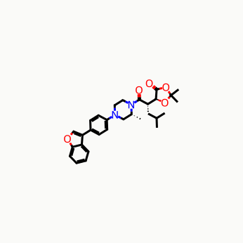 CC(C)C[C@H](C(=O)N1CCN(c2ccc(-c3coc4ccccc34)cc2)C[C@H]1C)[C@@H]1OC(C)(C)OC1=O